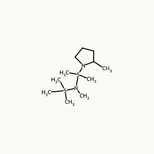 CC1CCCN1S(C)(C)N(C)S(C)(C)C